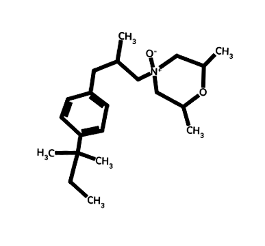 CCC(C)(C)c1ccc(CC(C)C[N+]2([O-])CC(C)OC(C)C2)cc1